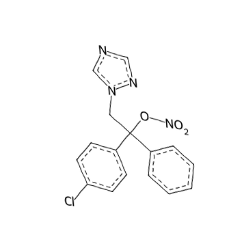 O=[N+]([O-])OC(Cn1cncn1)(c1ccccc1)c1ccc(Cl)cc1